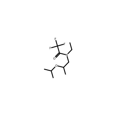 CCN(CC(C)OC(C)C)C(=O)C(F)(F)F